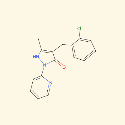 Cc1[nH]n(-c2ccccn2)c(=O)c1Cc1ccccc1Cl